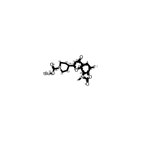 Cn1c(=O)oc2c(F)cc3c(=O)cc(C4CCN(C(=O)OC(C)(C)C)CC4)oc3c21